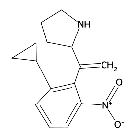 C=C(c1c(C2CC2)cccc1[N+](=O)[O-])C1CCCN1